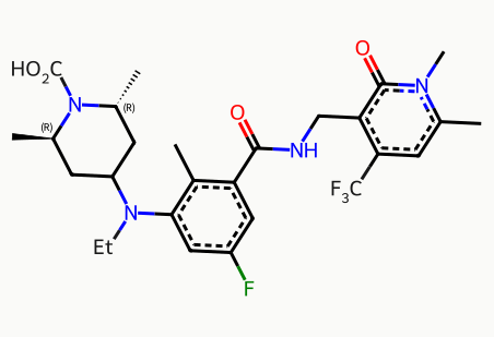 CCN(c1cc(F)cc(C(=O)NCc2c(C(F)(F)F)cc(C)n(C)c2=O)c1C)C1C[C@@H](C)N(C(=O)O)[C@H](C)C1